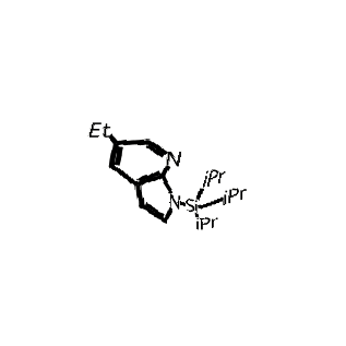 CCc1cnc2c(ccn2[Si](C(C)C)(C(C)C)C(C)C)c1